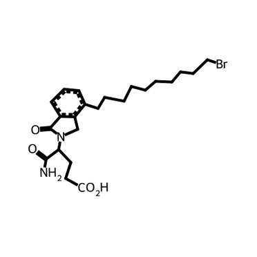 NC(=O)C(CCC(=O)O)N1Cc2c(CCCCCCCCCCBr)cccc2C1=O